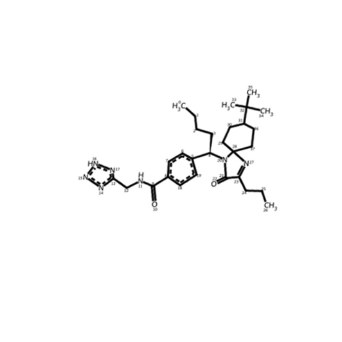 CCCC[C@H](c1ccc(C(=O)NCc2nn[nH]n2)cc1)N1C(=O)C(CCC)=NC12CCC(C(C)(C)C)CC2